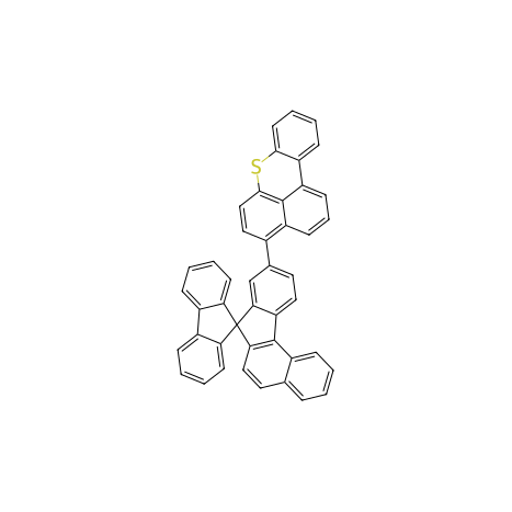 c1ccc2c(c1)Sc1ccc(-c3ccc4c(c3)C3(c5ccccc5-c5ccccc53)c3ccc5ccccc5c3-4)c3cccc-2c13